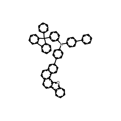 c1ccc(-c2ccc(N(c3ccc(-c4ccc5c(ccc6ccc7c8ccccc8oc7c65)c4)cc3)c3cccc(C4(c5ccccc5)c5ccccc5-c5ccccc54)c3)cc2)cc1